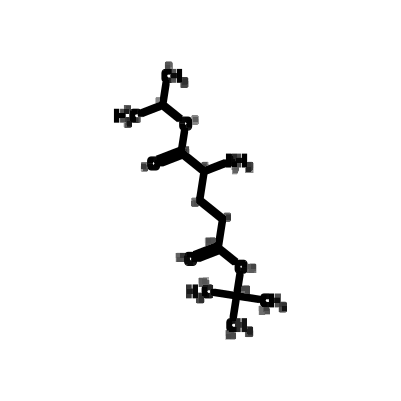 CC(C)OC(=O)C(N)CCC(=O)OC(C)(C)C